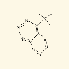 CC(C)(C)c1nnnc2cnccc12